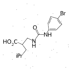 CC(C)CC(CNC(=O)Nc1ccc(Br)cc1)C(=O)O